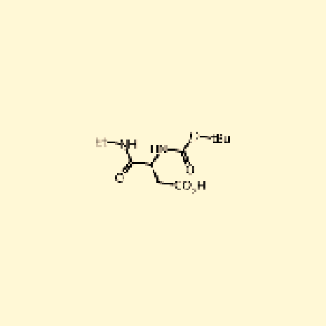 CCNC(=O)[C@H](CC(=O)O)NC(=O)OC(C)(C)C